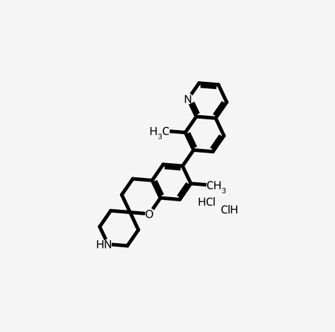 Cc1cc2c(cc1-c1ccc3cccnc3c1C)CCC1(CCNCC1)O2.Cl.Cl